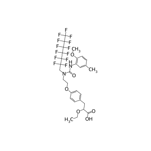 CCOC(Cc1ccc(OCCN(CC(F)(F)C(F)(F)C(F)(F)C(F)(F)C(F)(F)C(F)(F)F)C(=O)Nc2cc(C)ccc2OC)cc1)C(=O)O